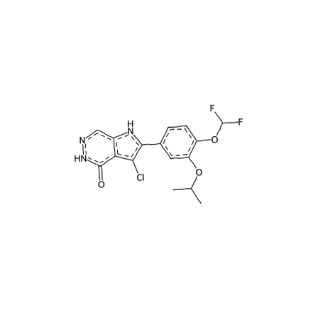 CC(C)Oc1cc(-c2[nH]c3cn[nH]c(=O)c3c2Cl)ccc1OC(F)F